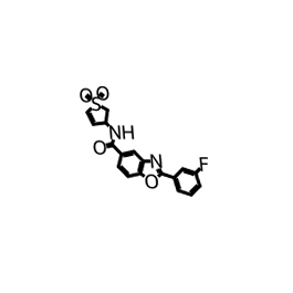 O=C(NC1C=CS(=O)(=O)C1)c1ccc2oc(-c3cccc(F)c3)nc2c1